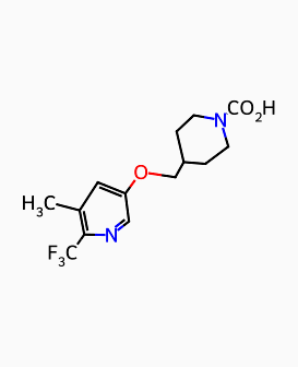 Cc1cc(OCC2CCN(C(=O)O)CC2)cnc1C(F)(F)F